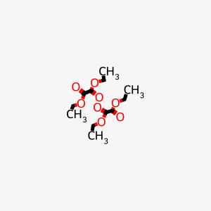 CCOC(=O)C(=O)OCC.CCOC(=O)C(=O)OCC